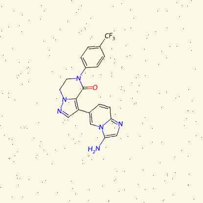 Nc1cnc2ccc(-c3cnn4c3C(=O)N(c3ccc(C(F)(F)F)cc3)CC4)cn12